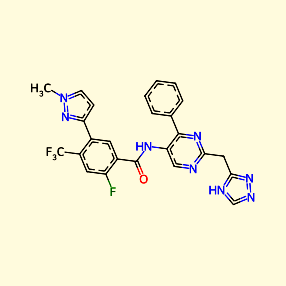 Cn1ccc(-c2cc(C(=O)Nc3cnc(Cc4nnc[nH]4)nc3-c3ccccc3)c(F)cc2C(F)(F)F)n1